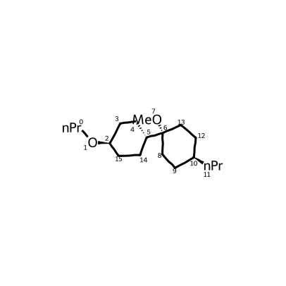 CCCO[C@H]1CC[C@H]([C@]2(OC)CC[C@H](CCC)CC2)CC1